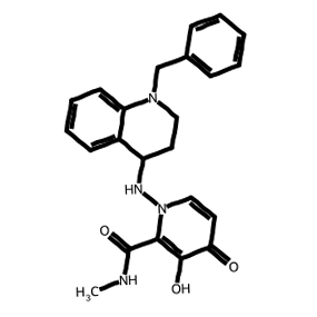 CNC(=O)c1c(O)c(=O)ccn1NC1CCN(Cc2ccccc2)c2ccccc21